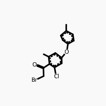 Cc1ccc(Oc2cc(C)c(C(=O)CBr)c(Cl)c2)cc1